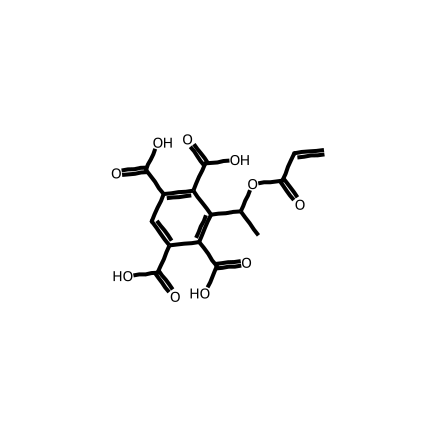 C=CC(=O)OC(C)c1c(C(=O)O)c(C(=O)O)cc(C(=O)O)c1C(=O)O